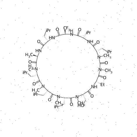 CC[C@@H]1NC(=O)[C@H](CO)N(C)C(=O)[C@H](CC(C)C)N(C)C(=O)[C@H](CC(C)C)N(C)C(=O)[C@H](CC(C)C)N(C)C(=O)[C@@H](C)NC(=O)[C@H](CC(C)C)NC(=O)[C@@H](C(F)(F)F)NC(=O)[C@H](C(C)C)NC(=O)[C@H](CC(C)C)N(C)C(=O)N(C)C1=O